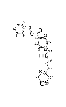 O=C(OCc1ccccc1)c1ccc(CNCCCN2CCOCC2)cc1